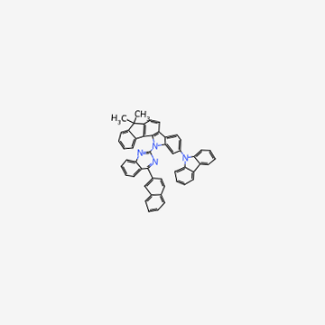 CC1(C)c2ccccc2-c2c1ccc1c3ccc(-n4c5ccccc5c5ccccc54)cc3n(-c3nc(-c4ccc5ccccc5c4)c4ccccc4n3)c21